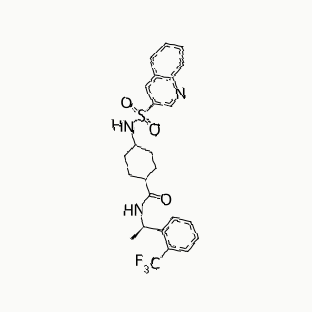 C[C@@H](NC(=O)C1CCC(NS(=O)(=O)c2cnc3ccccc3c2)CC1)c1ccccc1C(F)(F)F